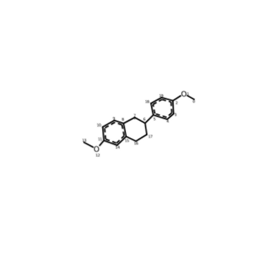 COc1ccc(C2[CH]c3ccc(OC)cc3CC2)cc1